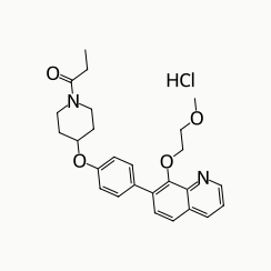 CCC(=O)N1CCC(Oc2ccc(-c3ccc4cccnc4c3OCCOC)cc2)CC1.Cl